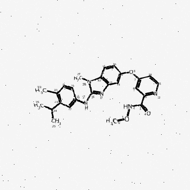 CONC(=O)c1cc(Oc2ccc3c(c2)nc(Nc2ccc(C)c(C(C)C)c2)n3C)ccn1